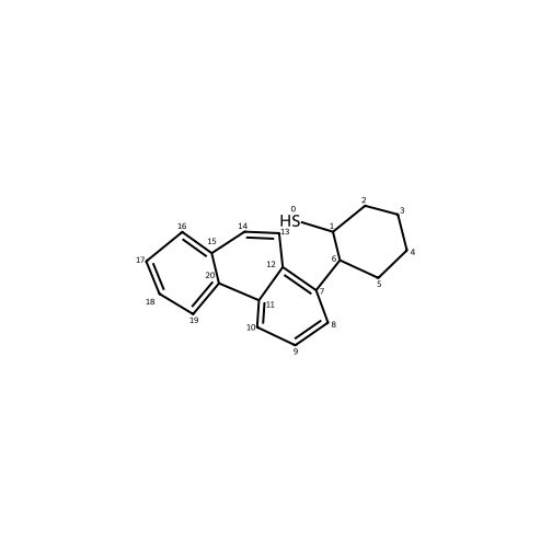 SC1CCCCC1c1cccc2c1ccc1ccccc12